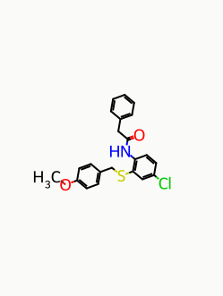 COc1ccc(CSc2cc(Cl)ccc2NC(=O)Cc2ccccc2)cc1